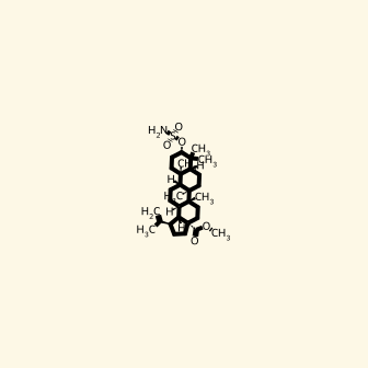 C=C(C)[C@@H]1CC[C@]2(C(=O)OC)CC[C@]3(C)[C@H](CC[C@@H]4[C@@]5(C)CC[C@H](OS(N)(=O)=O)C(C)(C)[C@@H]5CC[C@]43C)[C@@H]12